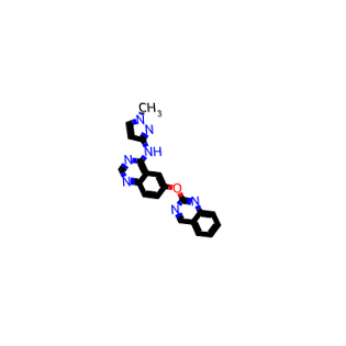 Cn1ccc(Nc2ncnc3ccc(Oc4ncc5ccccc5n4)cc23)n1